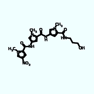 Cn1cc(NC(=O)c2cc(NC(=O)c3cc([N+](=O)[O-])cn3C)cn2C)cc1C(=O)NCCCO